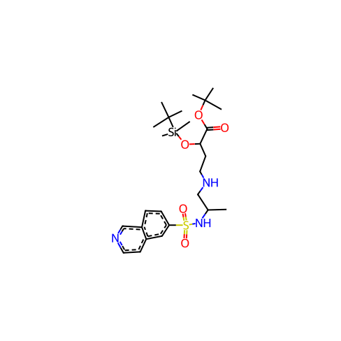 CC(CNCCC(O[Si](C)(C)C(C)(C)C)C(=O)OC(C)(C)C)NS(=O)(=O)c1ccc2cnccc2c1